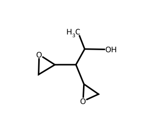 CC(O)C(C1CO1)C1CO1